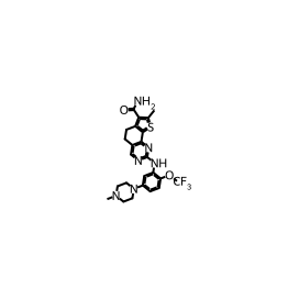 Cc1sc2c(c1C(N)=O)CCc1cnc(Nc3cc(N4CCN(C)CC4)ccc3OC(F)(F)F)nc1-2